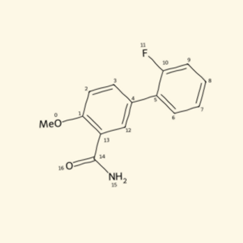 COc1ccc(-c2ccccc2F)cc1C(N)=O